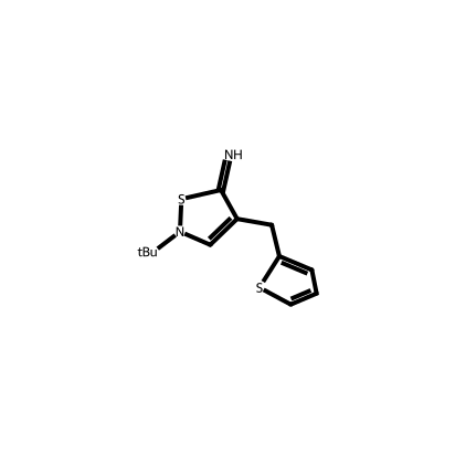 CC(C)(C)n1cc(Cc2cccs2)c(=N)s1